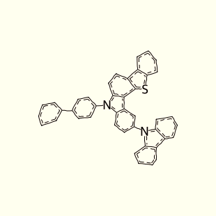 c1ccc(-c2ccc(-n3c4ccc(-n5c6ccccc6c6ccccc65)cc4c4c5sc6ccccc6c5ccc43)cc2)cc1